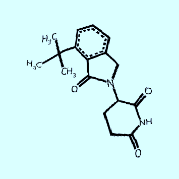 CC(C)(C)c1cccc2c1C(=O)N(C1CCC(=O)NC1=O)C2